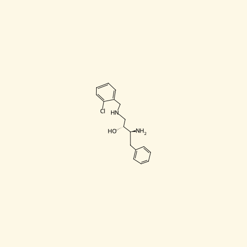 N[C@@H](Cc1ccccc1)[C@H](O)CNCc1ccccc1Cl